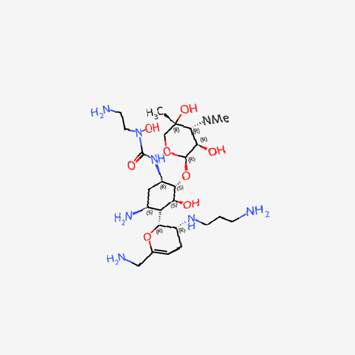 CN[C@@H]1[C@@H](O)[C@@H](O[C@H]2[C@H](NC(=O)N(O)CCN)C[C@H](N)C([C@H]3OC(CN)=CC[C@H]3NCCCN)[C@@H]2O)OC[C@]1(C)O